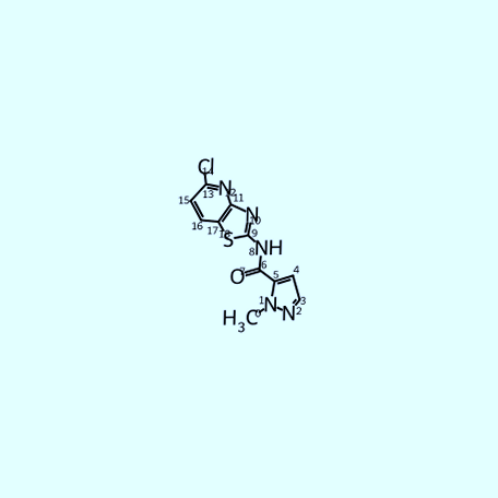 Cn1nccc1C(=O)Nc1nc2nc(Cl)ccc2s1